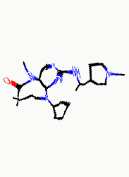 CC(Nc1ncc2c(n1)N(C1CCCC1)CC(C)(C)C(=O)N2C)C1CCN(C)CC1